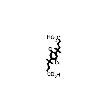 CC(C)(CCCC(=O)O)C1=CC(=O)C(C(C)(C)CCCC(=O)O)=CC1=O